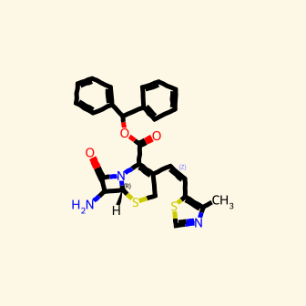 Cc1ncsc1/C=C\C1=C(C(=O)OC(c2ccccc2)c2ccccc2)N2C(=O)C(N)[C@H]2SC1